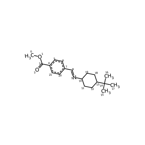 COC(=O)c1ccc(C=NC2CCC(C(C)(C)C)CC2)cc1